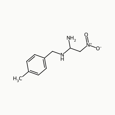 Cc1ccc(CNC(N)C[N+](=O)[O-])cc1